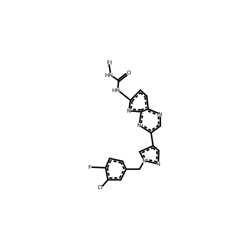 CCNC(=O)Nc1ccc2ncc(-c3cnn(Cc4ccc(F)c(Cl)c4)c3)nc2n1